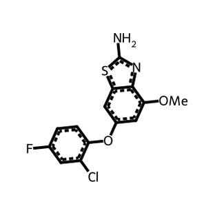 COc1cc(Oc2ccc(F)cc2Cl)cc2sc(N)nc12